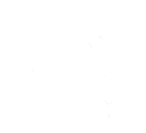 CCc1ccc(C2=NNC(=O)CC2)c(OCC(O)CNC(C)(C)C)c1